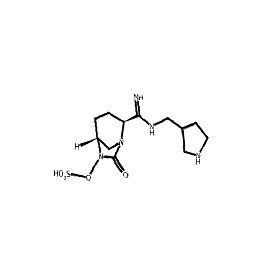 N=C(NCC1CCNC1)[C@@H]1CC[C@@H]2CN1C(=O)N2OS(=O)(=O)O